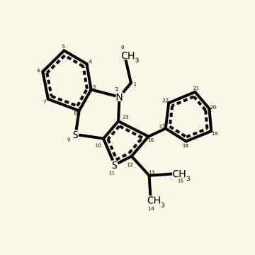 CCN1c2ccccc2Sc2sc(C(C)C)c(-c3ccccc3)c21